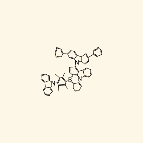 Cc1c(C)c(-n2c3ccccc3c3ccccc32)c(C)c(C)c1B1c2ccccc2-n2c3ccccc3c3c(-n4c5ccc(-c6ccccc6)cc5c5ccc(-c6ccccc6)cc54)ccc1c32